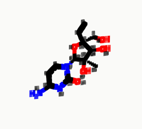 C=C[C@]1(CO)O[C@@H](n2ccc(N)nc2=O)[C@](C)(O)[C@@H]1O